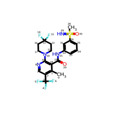 Cc1c(C(F)(F)F)cnc(N2CCC(F)(F)CC2)c1C(=O)Nc1cccc(S(C)(=N)=O)c1